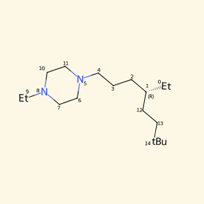 CC[C@@H](CCCN1CCN(CC)CC1)CCC(C)(C)C